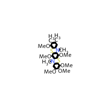 COc1cc2c(sc3c(OC)c4c(sc5c(OC)c(C)c(C)cc5n4C)c(OC)c3n2C)c(OC)c1OC